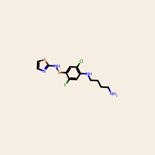 NCCCCNc1cc(F)c(SNc2nccs2)cc1Cl